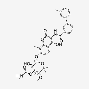 CO[C@@H]1[C@@H](OC(N)=O)[C@@H](O)[C@H](Oc2ccc3c(O)c(NC(=O)c4cccc(-c5cccc(C)c5)c4)c(=O)oc3c2C)OC1(C)C